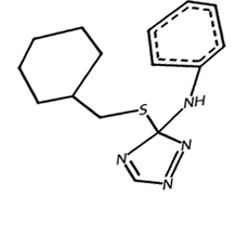 C1=NC(Nc2ccccc2)(SCC2CCCCC2)N=N1